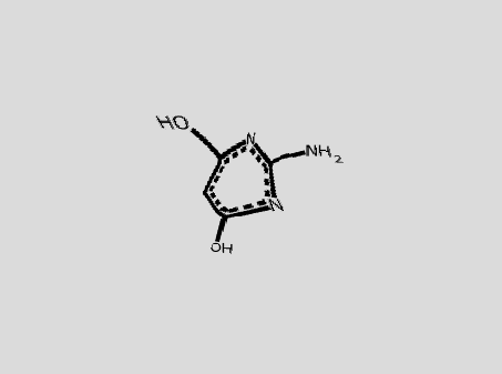 Nc1nc(O)cc(O)n1